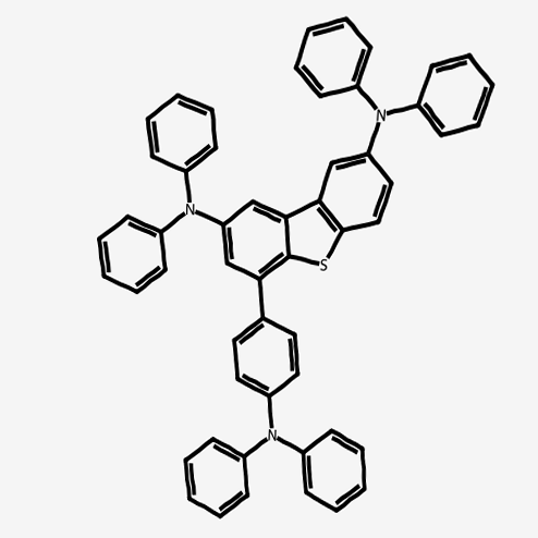 c1ccc(N(c2ccccc2)c2ccc(-c3cc(N(c4ccccc4)c4ccccc4)cc4c3sc3ccc(N(c5ccccc5)c5ccccc5)cc34)cc2)cc1